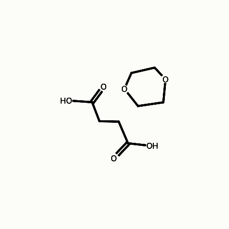 C1COCCO1.O=C(O)CCC(=O)O